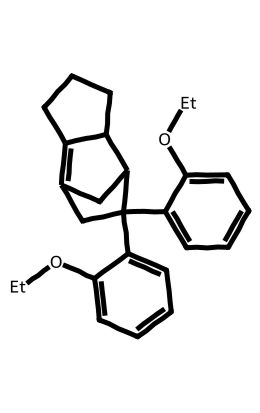 CCOc1ccccc1C1(c2ccccc2OCC)CC2=C3CCCC3C1C2